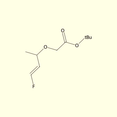 CC(C=CF)OCC(=O)OC(C)(C)C